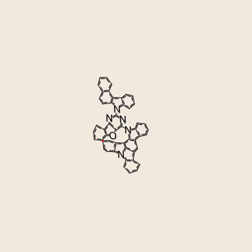 c1ccc2c(c1)ccc1c2c2ccccc2n1-c1nc(-n2c3ccccc3c3cc4c5ccccc5n5c6ccccc6c(c32)c45)c2oc3ccccc3c2n1